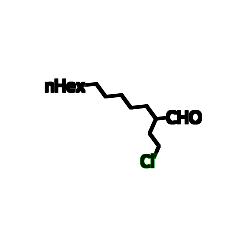 CCCCCCCCCCCC(C=O)CCCl